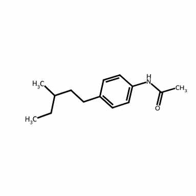 CCC(C)CCc1ccc(NC(C)=O)cc1